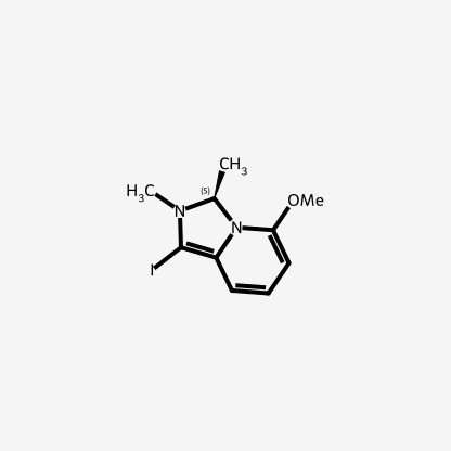 COC1=CC=CC2=C(I)N(C)[C@@H](C)N12